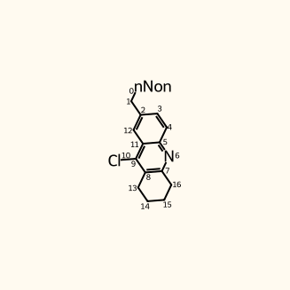 CCCCCCCCCCc1ccc2nc3c(c(Cl)c2c1)CCCC3